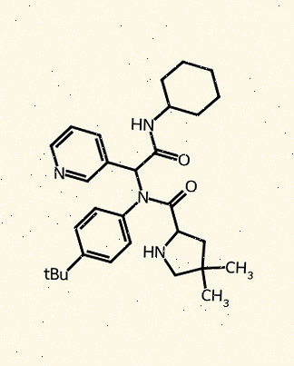 CC1(C)CNC(C(=O)N(c2ccc(C(C)(C)C)cc2)C(C(=O)NC2CCCCC2)c2cccnc2)C1